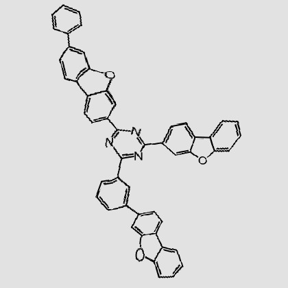 c1ccc(-c2ccc3c(c2)oc2cc(-c4nc(-c5cccc(-c6ccc7c(c6)oc6ccccc67)c5)nc(-c5ccc6c(c5)oc5ccccc56)n4)ccc23)cc1